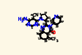 N#Cc1c(N)ncnc1N1CCC[C@H]1c1nc2cccc(C(F)(F)F)c2c(=O)n1-c1cccnc1